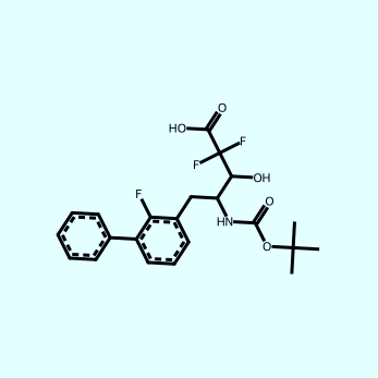 CC(C)(C)OC(=O)NC(Cc1cccc(-c2ccccc2)c1F)C(O)C(F)(F)C(=O)O